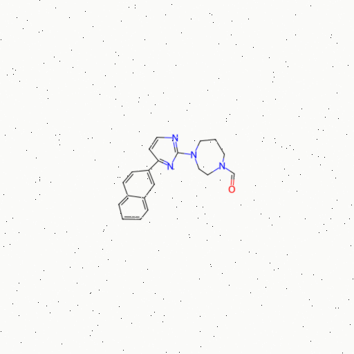 O=CN1CCCN(c2nccc(-c3ccc4ccccc4c3)n2)CC1